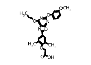 CCCOc1nc(Oc2cccc(OC)c2)nc2oc(-c3cc(C)c(OCC(=O)O)c(C)c3)nc12